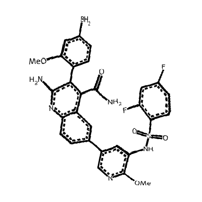 Bc1ccc(-c2c(N)nc3ccc(-c4cnc(OC)c(NS(=O)(=O)c5ccc(F)cc5F)c4)cc3c2C(N)=O)c(OC)c1